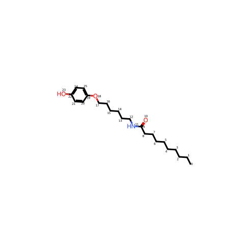 CCCCCCCCCC(=O)NCCCCCCOc1ccc(O)cc1